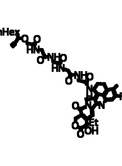 C#CC(CCCCCC)OCC(=O)NCC(=O)NCC(=O)NCC(=O)NCC(=O)N[C@H]1CCc2c(C)c(F)cc3nc4c(c1c23)Cn1c-4cc2c(c1=O)COC(=O)[C@]2(O)CC